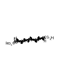 C=C/C(=C\C=C(/C=C)N=N/C(C=C)=C/C=C(\C=C)OBC(=O)O)N=N/C(C=C)=C/C=C(\C=C)N=N/C(C=C)=C/C=C(\C=C)OBC(=O)O